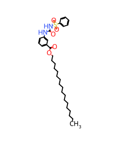 CCCCCCCCCCCCCCCCCCOC(=O)c1cccc(NC(=O)NS(=O)(=O)c2ccccc2)c1